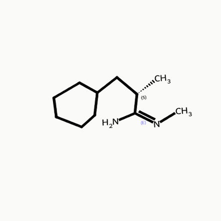 C/N=C(/N)[C@@H](C)CC1CCCCC1